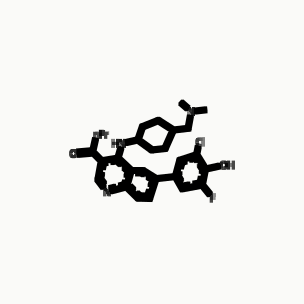 CCCC(=O)c1cnc2ccc(-c3cc(F)c(O)c(Cl)c3)cc2c1NC1CCC(CN(C)C)CC1